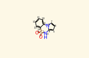 O=S1(=O)Nc2cccn2-c2ccccc21